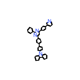 c1ccc(-c2nc(-c3ccc(-c4ccc(-n5c6ccccc6c6ccccc65)cc4)cc3)cc(-c3ccc(-c4cccnc4)cc3)n2)cc1